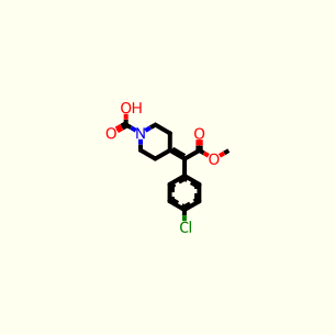 COC(=O)C(=C1CCN(C(=O)O)CC1)c1ccc(Cl)cc1